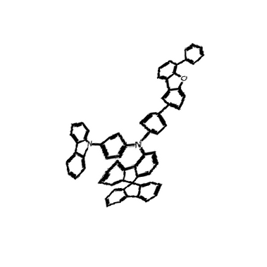 c1ccc(-c2cccc3c2oc2ccc(-c4ccc(N(c5ccc(-n6c7ccccc7c7ccccc76)cc5)c5cccc6c5-c5ccccc5C65c6ccccc6-c6ccccc65)cc4)cc23)cc1